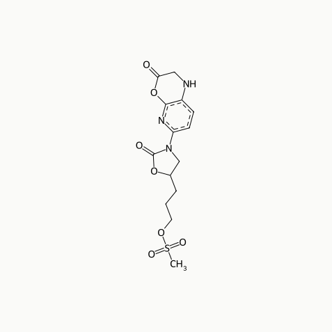 CS(=O)(=O)OCCCC1CN(c2ccc3c(n2)OC(=O)CN3)C(=O)O1